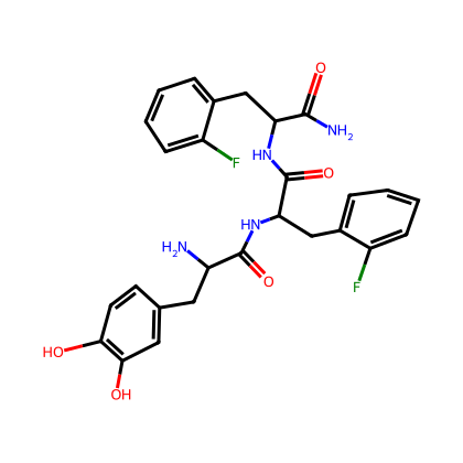 NC(=O)C(Cc1ccccc1F)NC(=O)C(Cc1ccccc1F)NC(=O)C(N)Cc1ccc(O)c(O)c1